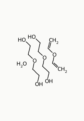 C=COC=C.O.OCCOCCO.OCCOCCO